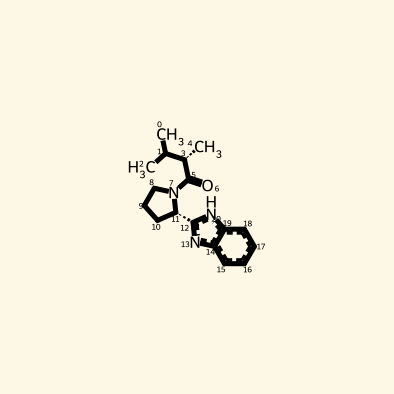 CC(C)[C@H](C)C(=O)N1CCC[C@H]1c1nc2ccccc2[nH]1